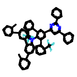 Cc1ccccc1-c1ccc2c(c1)c1cc(-c3ccccc3C)ccc1n2-c1c(-c2ccccc2C(F)(F)F)cc(-c2cc(-c3ccccc3)nc(-c3ccccc3)n2)cc1-c1ccccc1C(F)(F)F